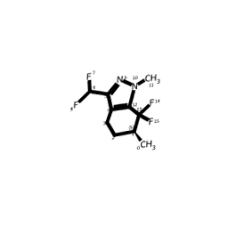 C[C@H]1CCc2c(C(F)F)nn(C)c2C1(F)F